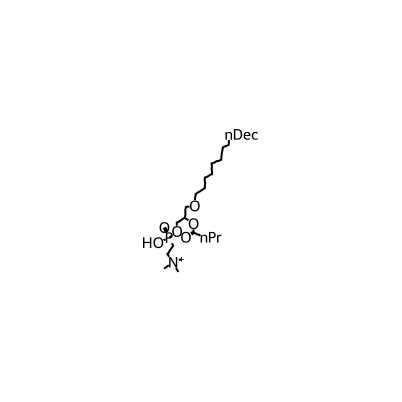 CCCCCCCCCCCCCCCCCCOCC(COP(=O)(O)CC[N+](C)(C)C)OC(=O)CCC